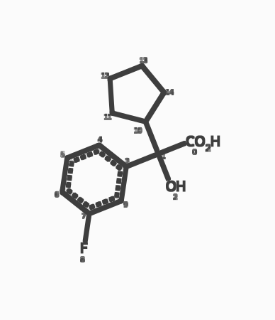 O=C(O)C(O)(c1cccc(F)c1)C1CCCC1